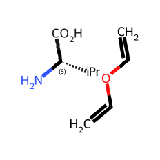 C=COC=C.CC(C)[C@H](N)C(=O)O